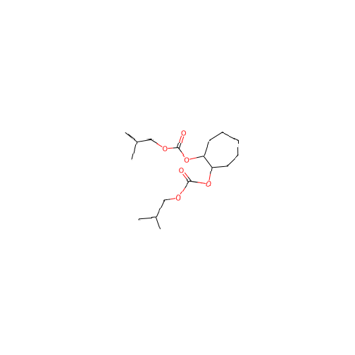 CC(C)COC(=O)OC1CCCCCC1OC(=O)OCC(C)C